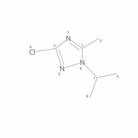 Cc1nc(Cl)nn1C(C)C